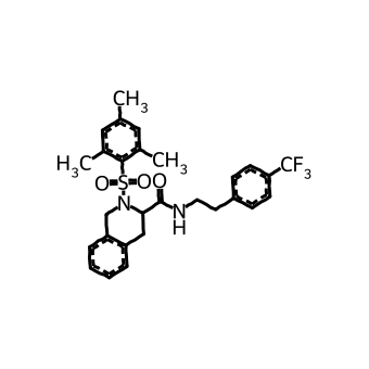 Cc1cc(C)c(S(=O)(=O)N2Cc3ccccc3CC2C(=O)NCCc2ccc(C(F)(F)F)cc2)c(C)c1